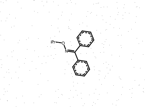 CC(C)ON=C(c1ccccc1)c1ccccc1